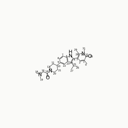 Cc1cc(-c2[nH]c3ccc(C4CCN(C(=O)CN(C)C)CC4)cc3c2C(C)C)c(C)n(C)c1=O